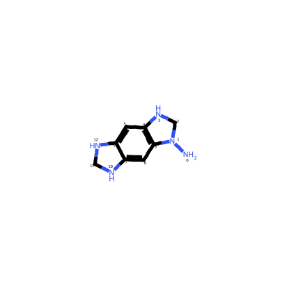 NN1CNc2cc3c(cc21)NCN3